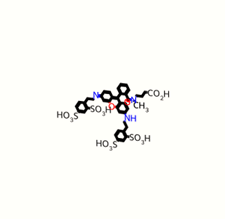 CN(CCCC(=O)O)C(=O)c1ccccc1-c1c2cc/c(=N/CCc3ccc(S(=O)(=O)O)cc3S(=O)(=O)O)cc-2oc2cc(NCCc3ccc(S(=O)(=O)O)cc3S(=O)(=O)O)ccc12